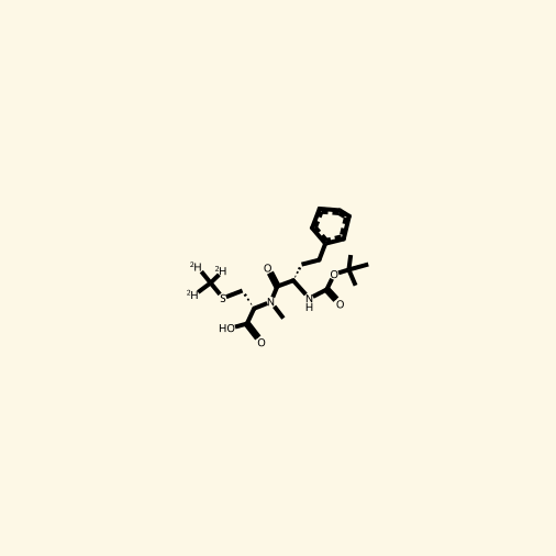 [2H]C([2H])([2H])SC[C@@H](C(=O)O)N(C)C(=O)[C@H](CCc1ccccc1)NC(=O)OC(C)(C)C